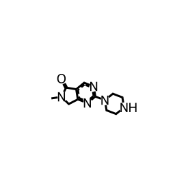 CN1Cc2nc(N3CCNCC3)ncc2C1=O